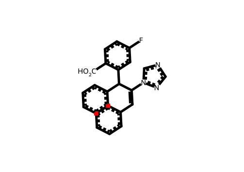 O=C(O)c1ccc(F)cc1C(/C(=C\c1ccccc1)n1cncn1)c1ccccc1